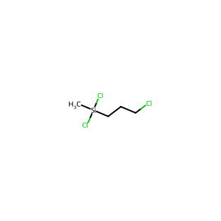 C[Si](Cl)(Cl)CCCCl